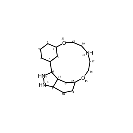 C1CC2CC(C1)C1NNC3CCC(CC31)OCCNCCO2